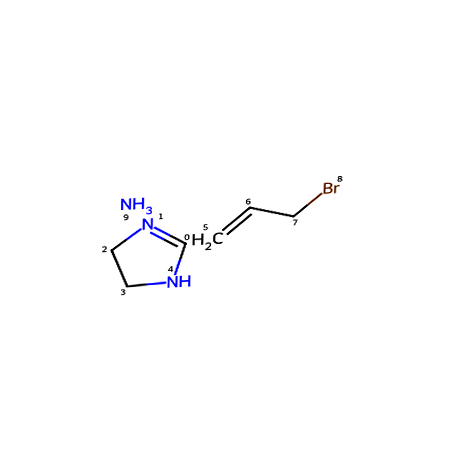 C1=NCCN1.C=CCBr.N